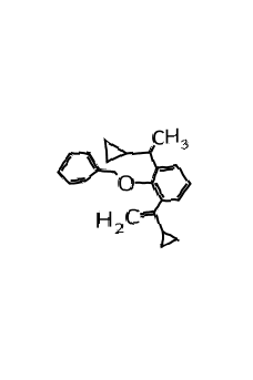 C=C(c1cccc(C(C)C2CC2)c1OCc1ccccc1)C1CC1